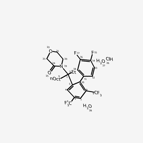 CCCCCCCCC(CC)(c1cc(C(F)(F)F)cc(C(F)(F)F)c1-c1ccc(F)c(F)c1)N1CCOCC1=O.Cl.O.O